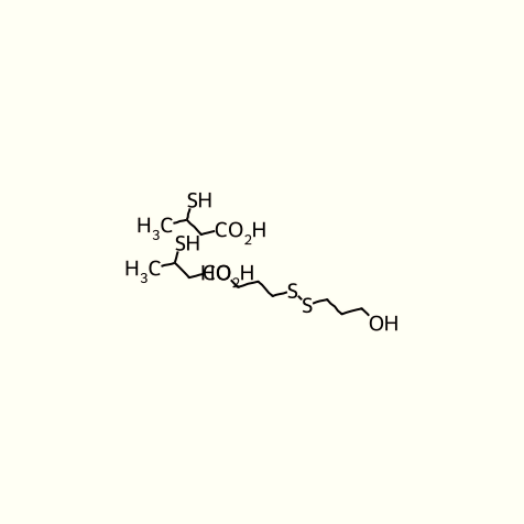 CC(S)CC(=O)O.CC(S)CC(=O)O.OCCCSSCCCO